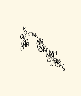 Cn1ncc(-c2nc(N[C@H]3CC[C@H](N(Cc4cnn(CCCN5CCC(c6cc(F)cc7c6CN(C6CCC(=O)NC6=O)C7=O)CC5)c4)C(=O)O)CC3)ncc2Cl)c1CC1CC1